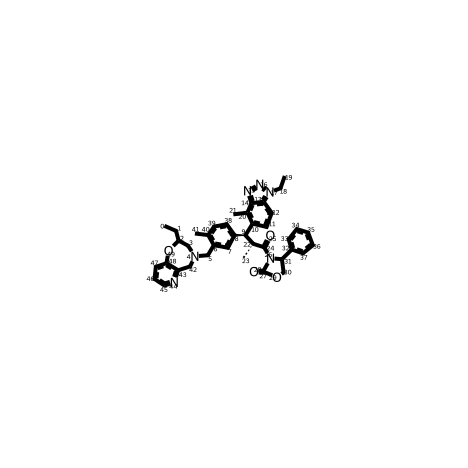 CCC1CN(Cc2cc([C@@H](c3ccc4c(nnn4CC)c3C)[C@@H](C)C(=O)N3C(=O)OCC3c3ccccc3)ccc2C)Cc2ncccc2O1